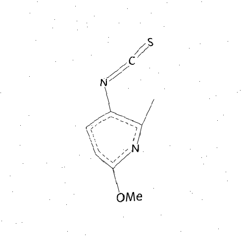 COc1ccc(N=C=S)c(C)n1